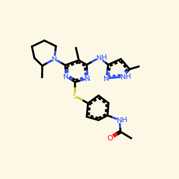 CC(=O)Nc1ccc(Sc2nc(Nc3cc(C)[nH]n3)c(C)c(N3CCCCC3C)n2)cc1